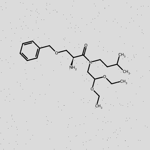 CCOC(CN(CCC(C)C)C(=O)[C@@H](N)COCc1ccccc1)OCC